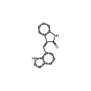 O=C1Nc2ccccc2C1=Cc1cccc2cc[nH]c12